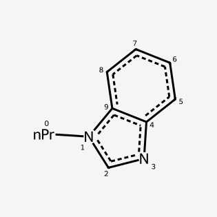 C[CH]Cn1cnc2ccccc21